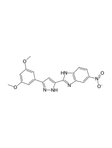 COc1cc(OC)cc(-c2cc(-c3nc4cc([N+](=O)[O-])ccc4[nH]3)[nH]n2)c1